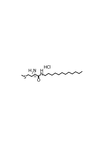 CCCCCCCCCCCCNC(=O)[C@@H](N)CCSC.Cl